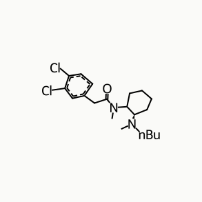 CCCCN(C)[C@@H]1CCCCC1N(C)C(=O)Cc1ccc(Cl)c(Cl)c1